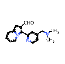 CN(C)Cc1ccnc(-c2c(C=O)cc3ccccn23)c1